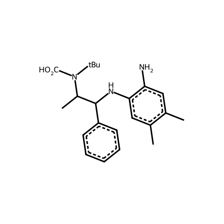 Cc1cc(N)c(NC(c2ccccc2)C(C)N(C(=O)O)C(C)(C)C)cc1C